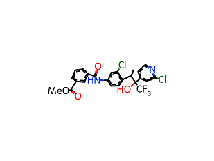 COC(=O)c1cccc(C(=O)Nc2ccc(C(C)C(O)(c3ccnc(Cl)c3)C(F)(F)F)c(Cl)c2)c1